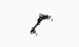 C=CC(=O)OCCCCCCOc1ccc2c(c1)C=C(c1ccc(OC(F)(F)F)cc1CC)CC2